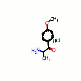 COc1ccc(C(=O)C(C)N)cc1.Cl